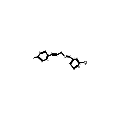 Cc1ccc(C#CCN=Cc2cccc(Cl)c2)cc1